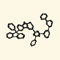 c1ccc(-c2cccc(-c3cccc(-c4nc(-c5ccccc5)nc(-c5ccc6sc7ccc(C8(c9ccccc9)c9ccccc9-c9ccccc98)cc7c6c5)n4)c3)c2)cc1